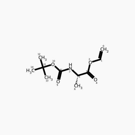 C=COC(=O)[C@H](C)NC(=O)OC(C)(C)C